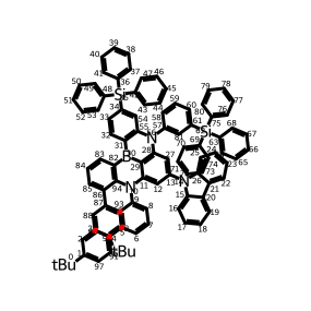 CC(C)(C)c1ccc(-c2cccc(N3c4cc(-n5c6ccccc6c6ccccc65)cc5c4B(c4ccc([Si](c6ccccc6)(c6ccccc6)c6ccccc6)cc4N5c4cccc([Si](c5ccccc5)(c5ccccc5)c5ccccc5)c4)c4cccc(-c5ccc(C(C)(C)C)cc5)c43)c2)cc1